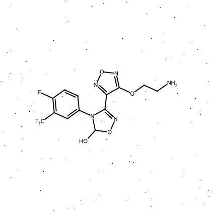 NCCOc1nonc1C1=NOC(O)N1c1ccc(F)c(C(F)(F)F)c1